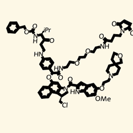 COc1cc2[nH]c(C(=O)N3C[C@@H](CCl)c4c3cc(OC(C(=O)NCCOCCOCCNC(=O)CCCN3C(=O)C=CC3=O)c3ccc(NCCC(=O)[C@@H](NC(=O)OCc5ccccc5)C(C)C)cc3)c3ccccc43)cc2cc1OCCN1CCC2(CCOC2)CC1